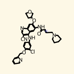 N#Cc1cnc2cc(O[C@H]3CCOC3)c(NC(=O)/C=C/CN3CCCCC3)cc2c1Nc1ccc(OCc2ccccn2)c(Cl)c1